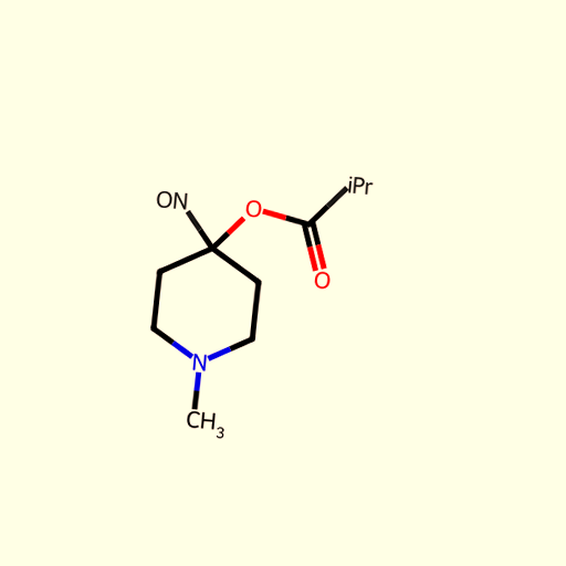 CC(C)C(=O)OC1(N=O)CCN(C)CC1